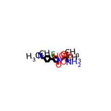 CN(C)Cc1ccc(-c2cc(=O)n(CC(O)C(C)(C(N)=O)S(C)(=O)=O)cc2F)cc1